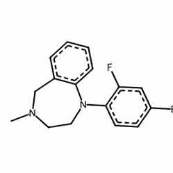 CN1CCN(c2ccc(F)cc2F)c2ccccc2C1